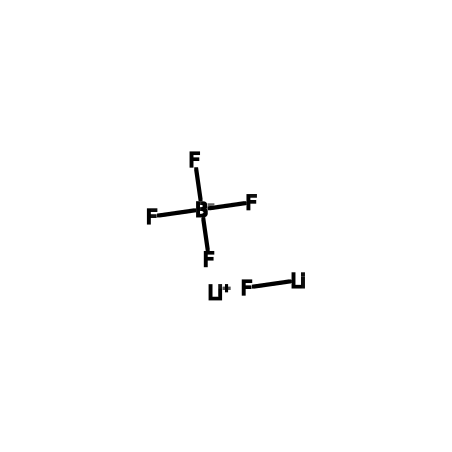 F[B-](F)(F)F.[Li+].[Li][F]